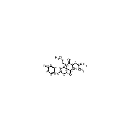 CCCN1C(=O)C(CC(C)C)NC(=O)C12CCN(Cc1ccc(F)cc1)CC2